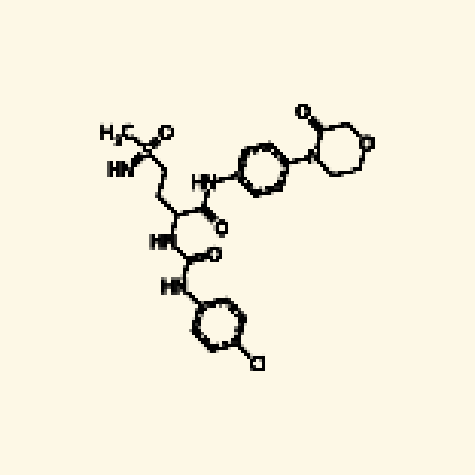 CS(=N)(=O)CCC(NC(=O)Nc1ccc(Cl)cc1)C(=O)Nc1ccc(N2CCOCC2=O)cc1